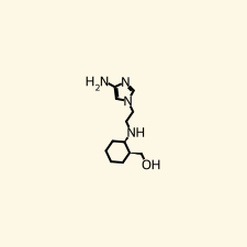 Nc1cn(CCN[C@@H]2CCCC[C@@H]2CO)cn1